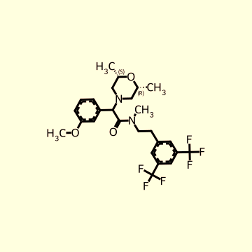 COc1cccc(C(C(=O)N(C)CCc2cc(C(F)(F)F)cc(C(F)(F)F)c2)N2C[C@@H](C)O[C@@H](C)C2)c1